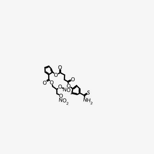 NC(=S)c1ccc(OC(=O)CCC(=O)Oc2ccccc2C(=O)OCC(CO[N+](=O)[O-])O[N+](=O)[O-])cc1